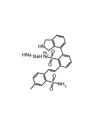 Cc1ccc(C=Cc2cccc(-c3cccc4c3CNC4)c2S(N)(=O)=O)c(S(N)(=O)=O)c1.[NaH].[NaH]